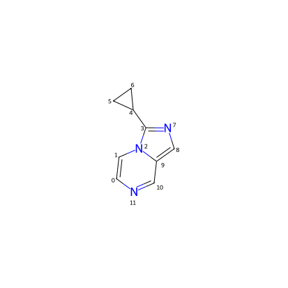 c1cn2c(C3CC3)ncc2cn1